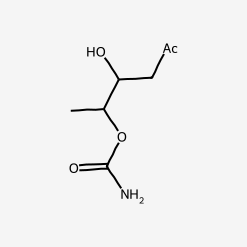 CC(=O)CC(O)C(C)OC(N)=O